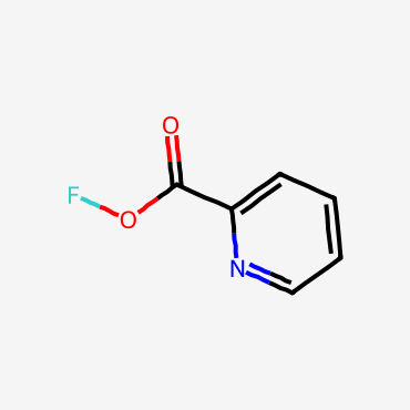 O=C(OF)c1ccccn1